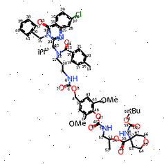 COc1cc(COC(=O)NCCCN(C(=O)c2ccc(C)cc2)[C@@H](c2nc3cc(Cl)ccc3c(=O)n2Cc2ccccc2)C(C)C)cc(OC)c1OC(=O)NCC(C)OC(=O)C1(NC(=O)OC(C)(C)C)CCOCC1